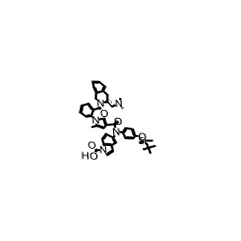 Cc1cc(C(=O)N(c2ccc(O[Si](C)(C)C(C)(C)C)cc2)c2ccc3c(ccn3C(=O)O)c2)cn1-c1ccccc1C(=O)N1Cc2ccccc2C[C@H]1CN(C)C